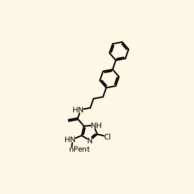 C=C(NCCCc1ccc(-c2ccccc2)cc1)c1[nH]c(Cl)nc1NCCCCC